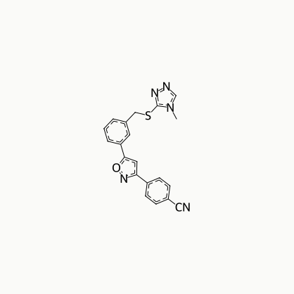 Cn1cnnc1SCc1cccc(-c2cc(-c3ccc(C#N)cc3)no2)c1